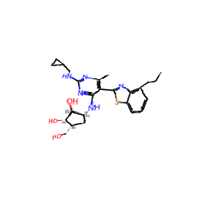 CCCc1cccc2sc(-c3c(C)nc(NCC4CC4)nc3N[C@@H]3C[C@H](CO)[C@@H](O)[C@H]3O)nc12